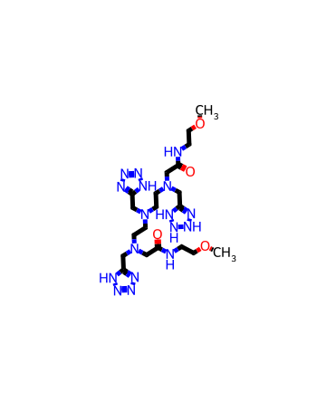 COCCNC(=O)CN(CCN(CCN(CC(=O)NCCOC)Cc1nnn[nH]1)Cc1nnn[nH]1)CC1=NNNN1